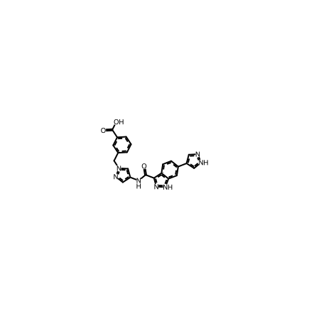 O=C(O)c1cccc(Cn2cc(NC(=O)c3n[nH]c4cc(-c5cn[nH]c5)ccc34)cn2)c1